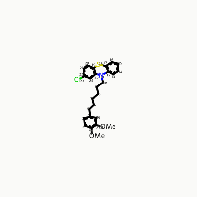 COc1ccc(CC[CH]CCCN2c3ccccc3Sc3ccc(Cl)cc32)cc1OC